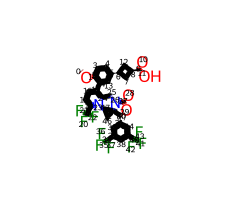 COc1ccc([C@H]2C[C@H](C(=O)O)C2)cc1-c1ccc(C(F)(F)F)nc1CN1C(=O)O[C@H](c2cc(C(F)(F)F)cc(C(F)(F)F)c2)C12CC2